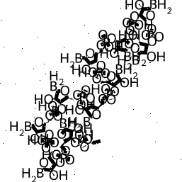 BC1O[C@H](CO)[C@H](OP(=O)(O)OC[C@H]2OC(B)[C@@H](O)[C@H]2OP(=O)(O)OC[C@H]2OC(B)[C@@H](O)[C@H]2OP(=O)(O)OC[C@H]2OC(B)[C@@H](O)[C@H]2OP(=O)(O)OC[C@H]2OC(B)[C@@H](O)[C@H]2OP(=O)(O)OC[C@H]2OC(B)[C@@H](O)[C@H]2OP(=O)(O)OC[C@H]2OC(B)[C@@H](O)[C@H]2OP(=O)(O)OC[C@H]2OC(B)[C@@H](O)[C@H]2OP(=O)(O)OC[C@H]2OC(B)[C@@H](O)[C@H]2OP(=O)(O)OC[C@H]2OC(B)[C@@H](O)[C@H]2OP(=O)(O)OCC)[C@@H]1O